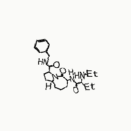 CCN[C@@H](CC)C(=O)N[C@H]1CCC[C@H]2CC[C@@H](C(=O)NCc3ccccc3)N2C1=O